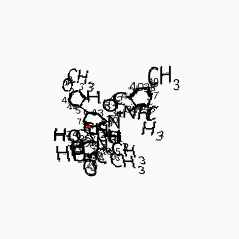 COc1ccc(-c2ccc(C(=O)N(C(C)(C)C)[C@@](CC(=O)O)(C(=O)O)C(C)(C)C)c(NC(=O)Nc3c(C)cc(C)cc3C)c2)cc1